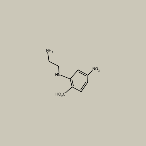 NCCNc1cc([N+](=O)[O-])ccc1C(=O)O